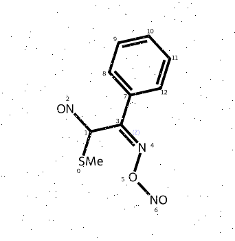 CSC(N=O)/C(=N\ON=O)c1ccccc1